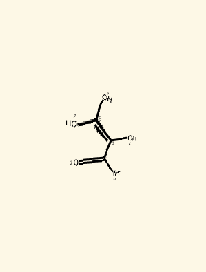 CC(C)C(=O)C(O)=C(O)O